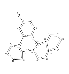 [O]c1ccc2c(c1)c1ccccc1c1ccc3ccccc3c12